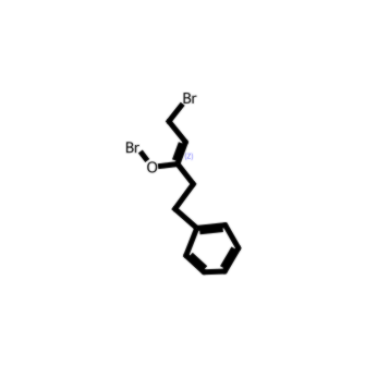 BrC/C=C(/CCc1ccccc1)OBr